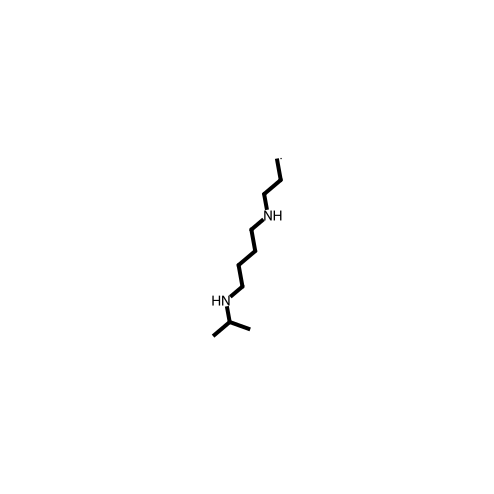 [CH2]CCNCCCCNC(C)C